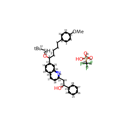 COc1ccc(CCCCC(O[SiH2]C(C)(C)C)c2ccc3ccc(CC(O)c4ccccc4)nc3c2)cc1.O=S(=O)(O)C(F)(F)F